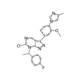 COc1cc(-c2nnc3n(C(C)c4ccc(F)cc4)c(Cl)ncc2-3)ccc1-n1cnc(C)c1